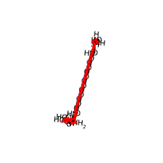 Nc1nc(=O)n([C@@H]2O[C@H](CO)C(O)[C@@H]2O)cc1CCCNC(=O)CCOCCOCCOCCOCCOCCOCCOCCOCCOCCOCCOCCOCCNC(=O)CCCC[C@@H]1SC[C@@H]2NC(=O)N[C@@H]21